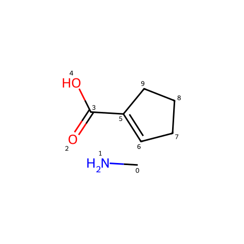 CN.O=C(O)C1=CCCC1